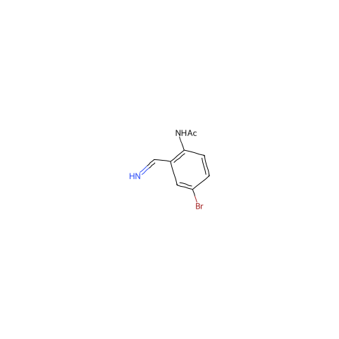 CC(=O)Nc1ccc(Br)cc1C=N